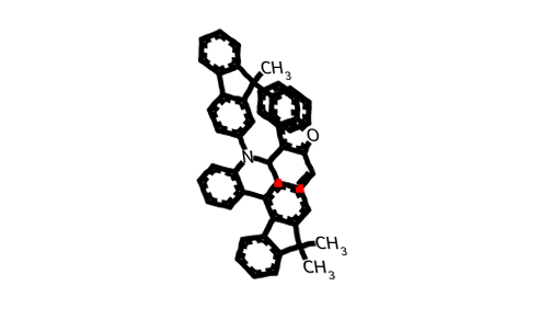 CC1(C)c2ccccc2-c2c(-c3ccccc3N(c3ccc4c(c3)C(C)(c3ccccc3)c3ccccc3-4)C3CC=Cc4oc5ccccc5c43)cccc21